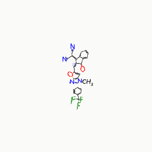 Cn1c(-c2ccc(C(F)(F)F)cc2)nc2oc(/C=C3\C(=O)c4ccccc4C3=C(C#N)C#N)cc21